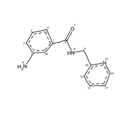 Nc1c[c]cc(C(=O)NCc2ccccn2)c1